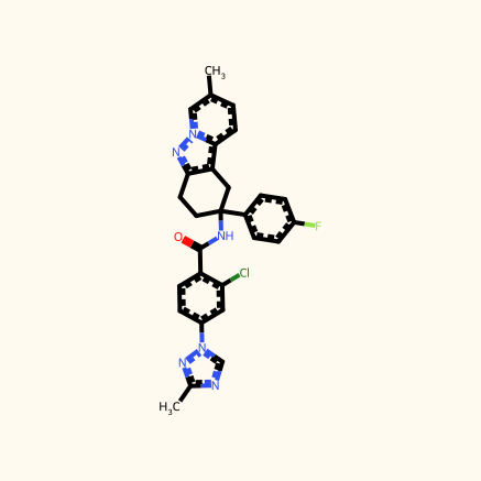 Cc1ccc2c3c(nn2c1)CCC(NC(=O)c1ccc(-n2cnc(C)n2)cc1Cl)(c1ccc(F)cc1)C3